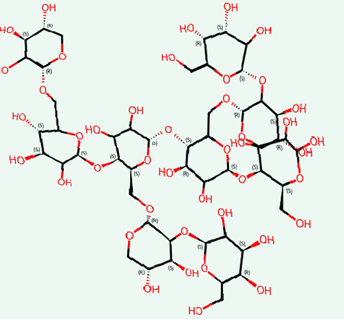 OCC1O[C@@H](OC2[C@@H](OC[C@@H]3O[C@@H](O[C@@H]4C(CO[C@H]5OC[C@@H](O)[C@H](O)C5O[C@@H]5OC(CO)[C@H](O)[C@H](O)C5O)O[C@@H](O[C@H]5C(O)C(O)C(O)O[C@H]5CO)C(O)[C@H]4O)C(O)C(O)[C@@H]3O[C@@H]3OC(CO[C@H]4OC[C@@H](O)[C@H](O)C4O)[C@@H](O)[C@H](O)C3O)OC[C@@H](O)[C@@H]2O)C(O)[C@@H](O)[C@H]1O